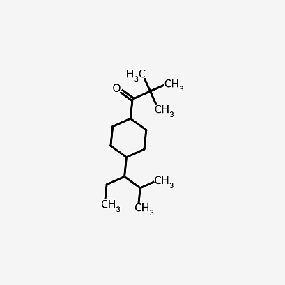 CCC(C(C)C)C1CCC(C(=O)C(C)(C)C)CC1